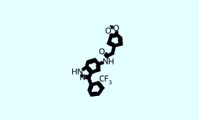 O=C(Cc1ccc2c(c1)OCO2)Nc1ccc2[nH]nc(-c3ccccc3C(F)(F)F)c2c1